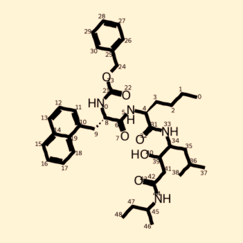 CCCC[C@H](NC(=O)[C@H](Cc1cccc2ccccc12)NC(=O)OCc1ccccc1)C(=O)NC(CC(C)C)C(O)CC(=O)NC(C)CC